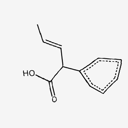 C/C=C/C(C(=O)O)c1ccccc1